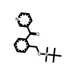 CC(C)(C)[Si](C)(C)OCc1ccccc1C(=O)c1cccnc1